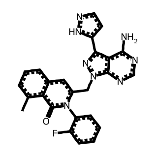 Cc1cccc2cc(Cn3nc(-c4ccn[nH]4)c4c(N)ncnc43)n(-c3ccccc3F)c(=O)c12